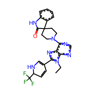 CCn1c(C2=CNC(C(F)(F)F)C=C2)nc2c(N3CCC4(CC3)C(=O)Nc3ccccc34)ncnc21